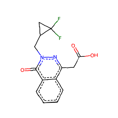 O=C(O)Cc1nn(CC2CC2(F)F)c(=O)c2ccccc12